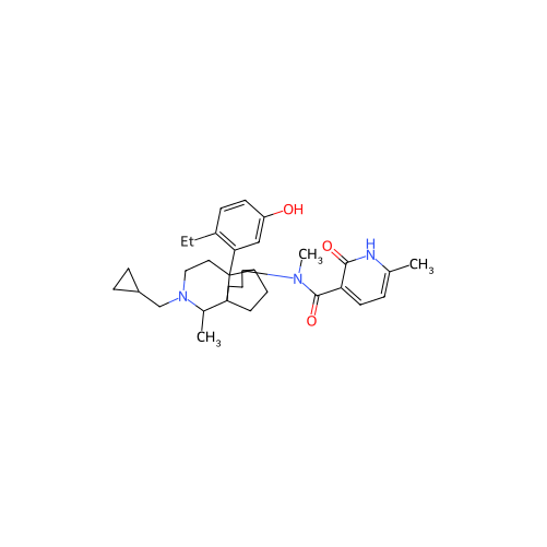 CCc1ccc(O)cc1C12CCN(CC3CC3)C(C)C13CCC(N(C)C(=O)c1ccc(C)[nH]c1=O)C2CC3